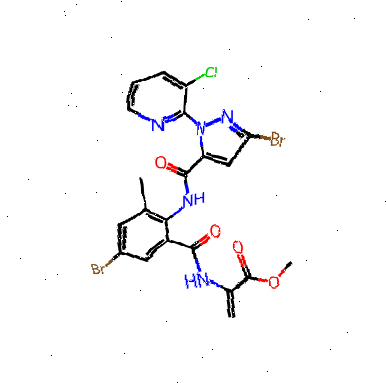 C=C(NC(=O)c1cc(Br)cc(C)c1NC(=O)c1cc(Br)nn1-c1ncccc1Cl)C(=O)OC